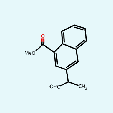 COC(=O)c1cc(C(C)[C]=O)cc2ccccc12